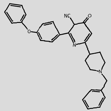 N#CC1C(=O)C=C(C2CCN(Cc3ccccc3)CC2)N=C1c1ccc(Oc2ccccc2)cc1